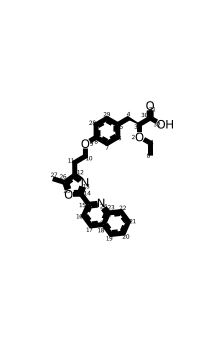 CCO[C@@H](Cc1ccc(OCCc2nc(-c3ccc4ccccc4n3)oc2C)cc1)C(=O)O